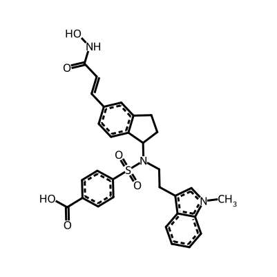 Cn1cc(CCN(C2CCc3cc(C=CC(=O)NO)ccc32)S(=O)(=O)c2ccc(C(=O)O)cc2)c2ccccc21